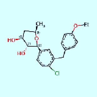 CCOc1ccc(Cc2cc([C@@H]3O[C@H](C)C[C@H](O)[C@H]3O)ccc2Cl)cc1